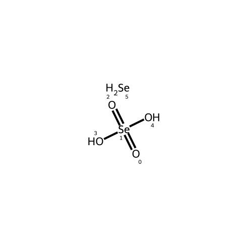 O=[Se](=O)(O)O.[SeH2]